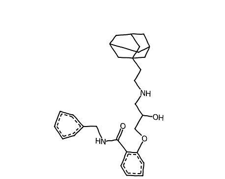 O=C(NCc1ccccc1)c1ccccc1OCC(O)CNCCC12CC3CC(CC(C3)C1)C2